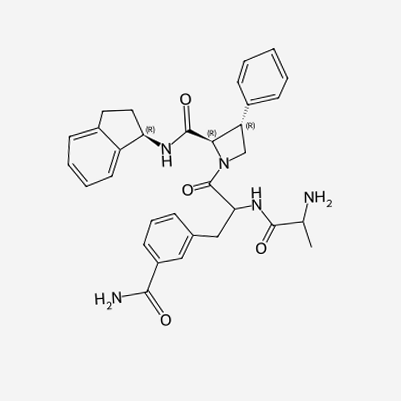 CC(N)C(=O)NC(Cc1cccc(C(N)=O)c1)C(=O)N1C[C@@H](c2ccccc2)[C@@H]1C(=O)N[C@@H]1CCc2ccccc21